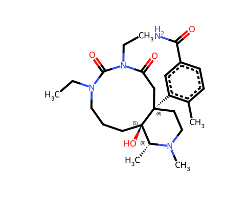 CCN1CCC[C@@]2(O)[C@@H](C)N(C)CC[C@]2(c2cc(C(N)=O)ccc2C)CC(=O)N(CC)C1=O